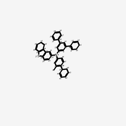 Cc1cc(N(c2cc(C3=CCCC=C3)cc(-c3ccccc3)c2)c2ccc3sc4c(c3c2)CCC=C4)ccc1C1C=CC=CC1